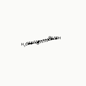 CSCSCSCSCSC(=O)CSCSCSCSCC[S+]([O-])CSCSCO